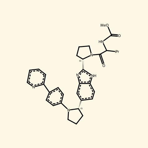 COC(=O)NC(C(=O)N1CCC[C@H]1c1nc2cc([C@@H]3CCCN3c3ccc(-c4ccccn4)cc3)ccc2[nH]1)C(C)C